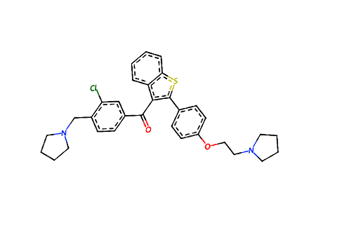 O=C(c1ccc(CN2CCCC2)c(Cl)c1)c1c(-c2ccc(OCCN3CCCC3)cc2)sc2ccccc12